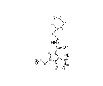 O=C(NCCC1CCCCC1)c1cn(CCO)c2cccc(Br)c12